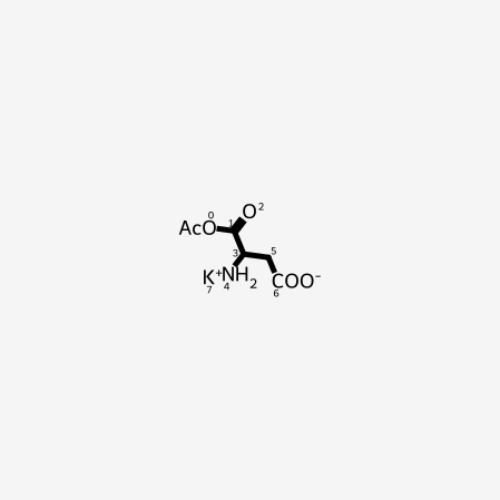 CC(=O)OC(=O)C(N)CC(=O)[O-].[K+]